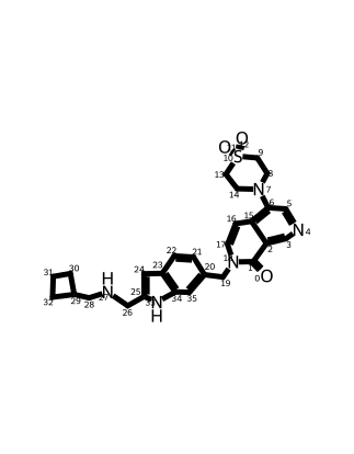 O=c1c2cncc(N3CCS(=O)(=O)CC3)c2ccn1Cc1ccc2cc(CNCC3CCC3)[nH]c2c1